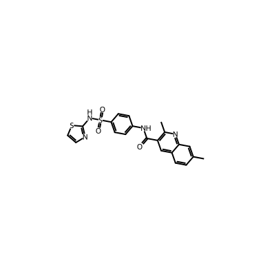 Cc1ccc2cc(C(=O)Nc3ccc(S(=O)(=O)Nc4nccs4)cc3)c(C)nc2c1